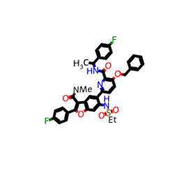 CCS(=O)(=O)Nc1cc2oc(-c3ccc(F)cc3)c(C(=O)NC)c2cc1-c1ccc(OCc2ccccc2)c(C(=O)NC(C)c2ccc(F)cc2)n1